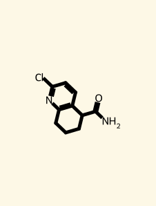 NC(=O)C1CCCc2nc(Cl)ccc21